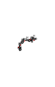 NC(=O)C(CCCNc1ccc2c(c1)C(=O)N(C1CCC(=O)NC1=O)C2=O)N1CCC(n2cc(-c3cnc4ccccc4n3)cn2)CC1